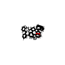 c1ccc(-c2nc(-c3ccc4c(c3-c3cccc5oc6ccccc6c35)-c3ccccc3C43C4CC5CC(C4)CC3C5)nc3ccccc23)cc1